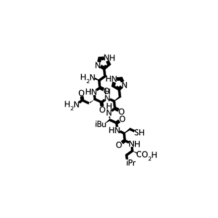 CC[C@H](C)[C@H](NC(=O)[C@H](Cc1c[nH]cn1)NC(=O)[C@H](CC(N)=O)NC(=O)[C@@H](N)Cc1c[nH]cn1)C(=O)N[C@@H](CS)C(=O)N[C@@H](CC(C)C)C(=O)O